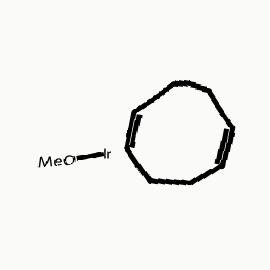 C1=CCCC=CCC1.C[O][Ir]